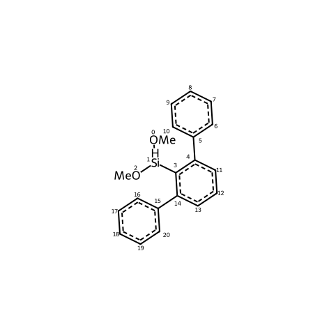 CO[SiH](OC)c1c(-c2ccccc2)cccc1-c1ccccc1